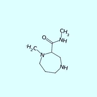 [CH2]N1CCCNCC1C(=O)NC